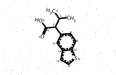 CC(C)C(C(=O)O)c1ccc2sccc2c1